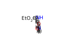 CCOC(=O)C1CCNCC1Cc1ccc(OCCc2nc(-c3ccccc3)oc2C)cc1